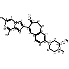 Cc1cn2cc(C3=Cc4ccc(N5CCN(C)[C@@H](C(C)C)C5)cc4CCC3=O)nc2c(C)n1